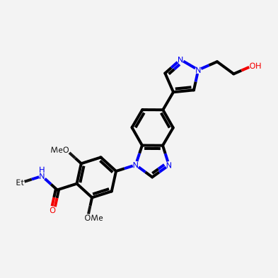 CCNC(=O)c1c(OC)cc(-n2cnc3cc(-c4cnn(CCO)c4)ccc32)cc1OC